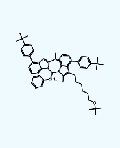 CC1=C(CCCCCCOC(C)(C)C)c2c(-c3ccc(C(C)(C)C)cc3)cccc2C1C([SiH2]c1ccccc1)C1C(C(C)C)=Cc2c(-c3ccc(C(C)(C)C)cc3)cccc21